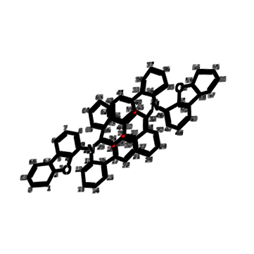 C1=CC2Oc3c(cccc3N(c3ccccc3-c3ccccc3)c3cc4c5ccccc5c(N(c5ccccc5-c5ccccc5)c5cccc6c5OC5C=CC=CC65)cc4c4ccccc34)C2C=C1